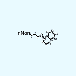 CCCCCCCCCCCCO[n+]1cccc2ccccc21